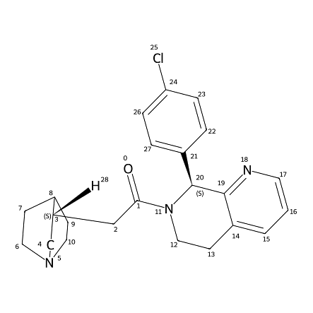 O=C(C[C@@H]1CN2CCC1CC2)N1CCc2cccnc2[C@@H]1c1ccc(Cl)cc1